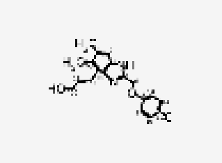 Cc1cc2[nH]c(COc3ccc(Cl)cc3)nc2c(CCCO)c1C